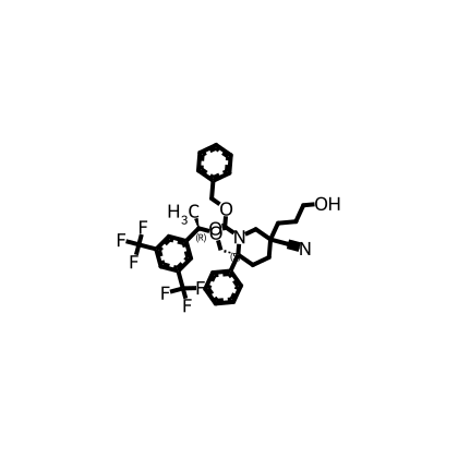 C[C@@H](OC[C@@]1(c2ccccc2)CCC(C#N)(CCCO)CN1C(=O)OCc1ccccc1)c1cc(C(F)(F)F)cc(C(F)(F)F)c1